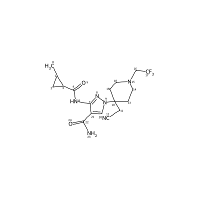 CC1CC1C(=O)Nc1nn(C2(CC#N)CCN(CC(F)(F)F)CC2)cc1C(N)=O